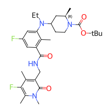 CCN(c1cc(F)cc(C(=O)NCc2c(C)c(F)c(C)n(C)c2=O)c1C)C1CCN(C(=O)OC(C)(C)C)[C@H](C)C1